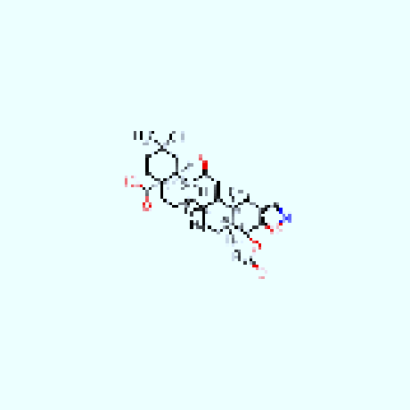 CC1(C)CC[C@]2(C(=O)O)CC[C@]3(C)[C@H](C(=O)C=C4[C@@]5(C)Cc6cnoc6[C@@](C)(OC=O)[C@@H]5CC[C@]43C)[C@@H]2C1